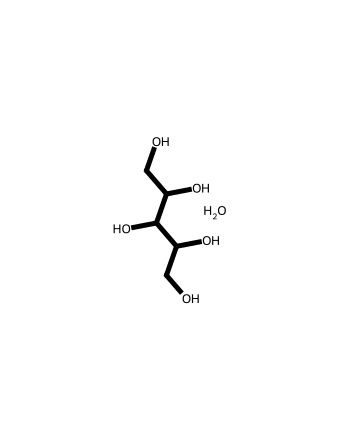 O.OCC(O)C(O)C(O)CO